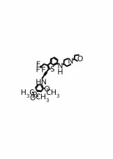 COc1cc(P(C)(C)=O)ccc1NCC#Cc1sc2c(NC3CCN(C4CCOC4)CC3)cccc2c1CC(F)(F)F